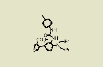 Cc1ccc(NC(=O)Nc2cc(-c3cscc3C(=O)O)ccc2N(CC(C)C)CC(C)C)cc1